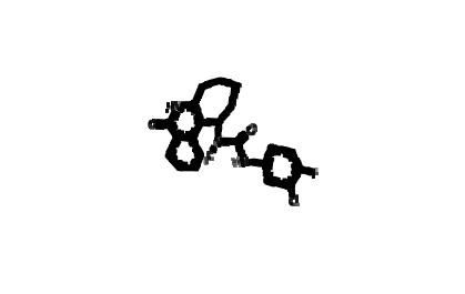 CN(C(=O)Nc1ccc(F)c(Cl)c1)C1CCCCc2[nH]c(=O)c3ccccc3c21